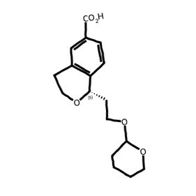 O=C(O)c1ccc2c(c1)CCO[C@H]2CCOC1CCCCO1